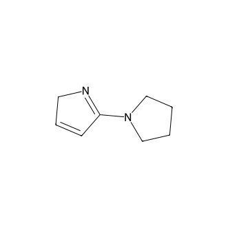 C1=CC(N2CCCC2)=NC1